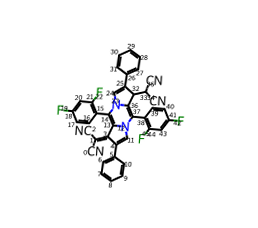 N#CC(C#N)=c1c(-c2ccccc2)cn2c1=C(c1ccc(F)cc1F)N1C=C(c3ccccc3)C(C(C#N)C#N)C1=C2c1ccc(F)cc1F